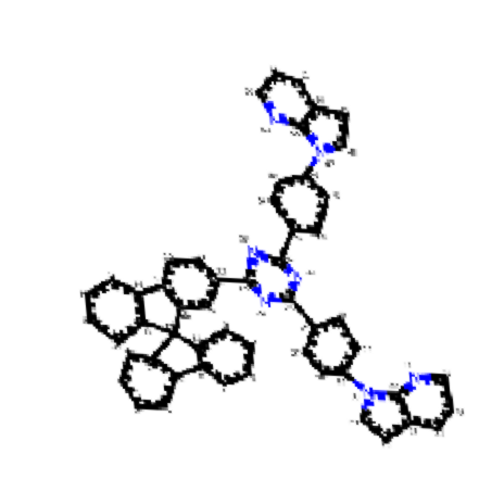 c1ccc2c(c1)-c1ccccc1C21c2ccccc2-c2ccc(-c3nc(-c4ccc(-n5ccc6cccnc65)cc4)nc(-c4ccc(-n5ccc6cccnc65)cc4)n3)cc21